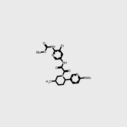 CCc1cc(NC(=O)C(=O)N2CC(C)CCC2c2ccc(NC)nc2)cnc1NC(=O)OC(C)(C)C